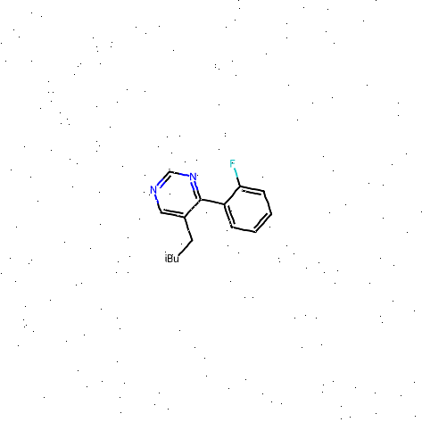 CCC(C)Cc1cn[c]nc1-c1ccccc1F